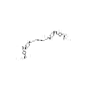 CN(Cc1ccc(NC(=O)OC(C)(C)C)cc1)C(=O)N1CCN(C(=O)CCCCC#CC#CCCCC(O)C(=O)N2CCN(C(=O)N(C)Cc3ccc(NC(=O)OC(C)(C)C)cc3)CC2)CC1